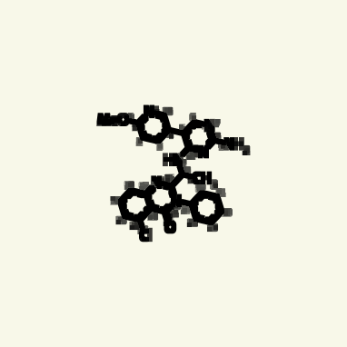 COc1ccc(-c2cnc(N)nc2NC(C)c2nc3cccc(Cl)c3c(=O)n2-c2ccccc2)cn1